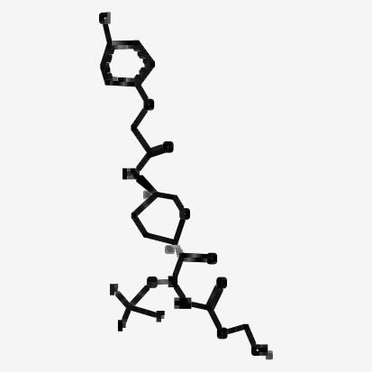 CCOC(=O)NN(OC(F)(F)F)C(=O)[C@@H]1CC[C@@H](NC(=O)COc2ccc(Cl)cc2)CO1